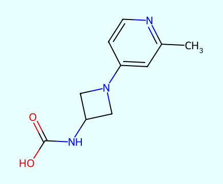 Cc1cc(N2CC(NC(=O)O)C2)ccn1